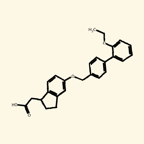 CCOc1ccccc1-c1ccc(COc2ccc3c(c2)CCC3CC(=O)O)cc1